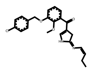 CC/C=C\N=C1/CC(C(=O)c2cccc(OCc3ccc(Cl)cc3)c2OC)=CN1